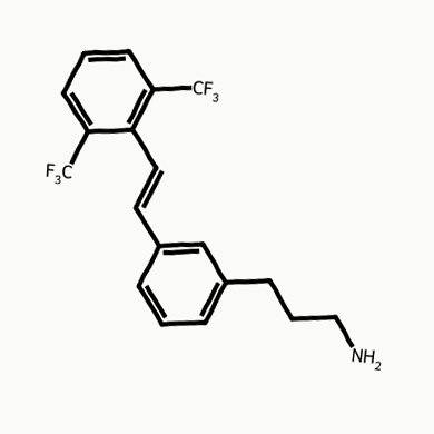 NCCCc1cccc(C=Cc2c(C(F)(F)F)cccc2C(F)(F)F)c1